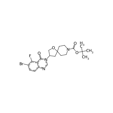 CC(C)(C)OC(=O)N1CCC2(CC1)CC(n1cnc3ccc(Br)c(F)c3c1=O)CO2